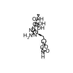 Nc1nc(C#CCC2CCN(C(=O)OC3CNC3=O)CC2)nc2c1ncn2[C@@H]1O[C@H](C(=O)NC2CC2)[C@H](O)C1O